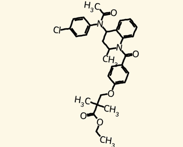 CCOC(=O)C(C)(C)COc1ccc(C(=O)N2c3ccccc3C(N(C(C)=O)c3ccc(Cl)cc3)CC2C)cc1